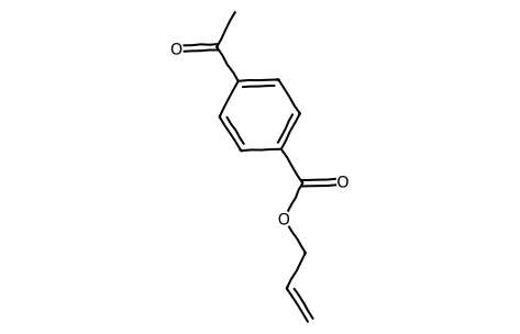 C=CCOC(=O)c1ccc(C(C)=O)cc1